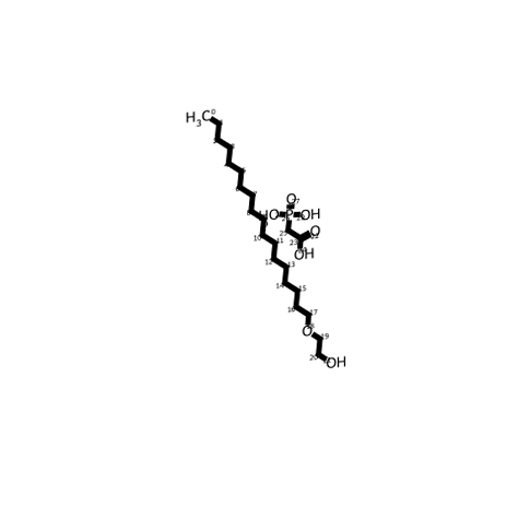 CCCCCCCCCCCCCCCCCCOCCO.O=C(O)CP(=O)(O)O